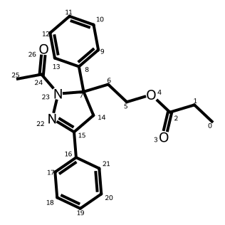 CCC(=O)OCCC1(c2ccccc2)CC(c2ccccc2)=NN1C(C)=O